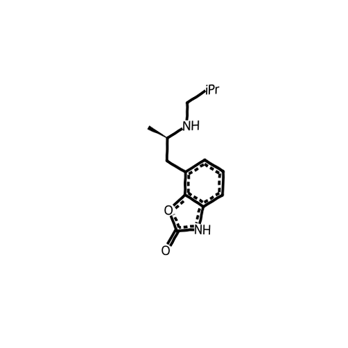 CC(C)CN[C@H](C)Cc1cccc2[nH]c(=O)oc12